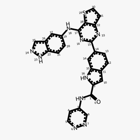 O=C(Nc1ccnnc1)c1cc2ccc(-c3nc(Nc4ccc5[nH]ncc5c4)c4sccc4n3)cc2[nH]1